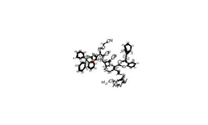 Cn1nnnc1S/C=C/C1=C(C(=O)OC(c2ccccc2)c2ccccc2)N2C(=O)C(NC(=O)/C(=N\OCC#N)c3csc(NC(c4ccccc4)(c4ccccc4)c4ccccc4)n3)C2SC1